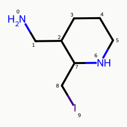 NCC1CCCNC1CI